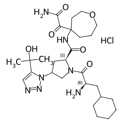 CC(C)(O)c1cnnn1C1C[C@@H](C(=O)NC2(C(=O)C(N)=O)CCCOCC2)N(C(=O)[C@H](N)CC2CCCCC2)C1.Cl